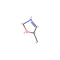 CC1C=NCO1